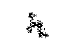 Cc1ccc(NC(=O)c2ccnc(C(F)(F)F)c2)cc1-c1cc(OC[C@H]2CCCN2)nc(N2CCOCC2)c1